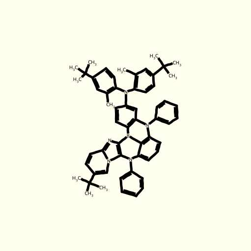 Cc1cc(C(C)(C)C)ccc1N(c1ccc2c(c1)N(c1ccccc1)c1cccc3c1B2c1nc2ccc(C(C)(C)C)cn2c1N3c1ccccc1)c1ccc(C(C)(C)C)cc1C